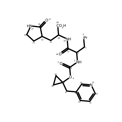 CC(C)CC(NC(=O)OC1(Cc2cccnc2)CC1)C(=O)NC(CC1CCNC1=O)C(=O)O